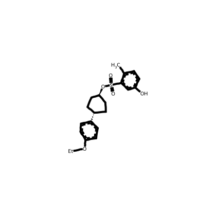 CCOc1ccc([C@H]2CC[C@H](OS(=O)(=O)c3cc(O)ccc3C)CC2)cc1